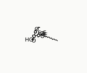 C=CCOc1ccc(-c2ccc(C(=O)O)cc2-c2ccc(C(=O)OC(CCCCCCCCCCC)C(F)(F)F)c(F)c2)cc1